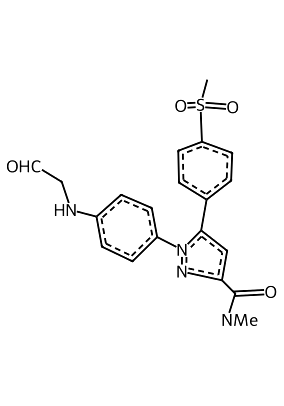 CNC(=O)c1cc(-c2ccc(S(C)(=O)=O)cc2)n(-c2ccc(NCC=O)cc2)n1